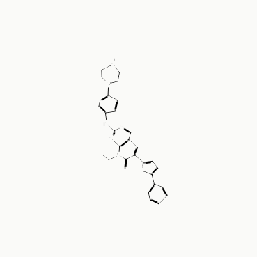 CCn1c(=O)c(-c2ccc(-c3ccccc3)s2)cc2cnc(Nc3ccc(N4CCN(C)CC4)cc3)nc21